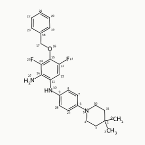 CC1(C)CCN(c2ccc(Nc3cc(F)c(OCc4ccccc4)c(F)c3N)cc2)CC1